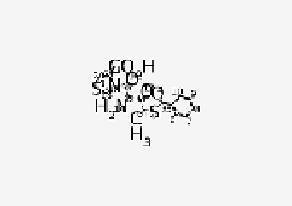 CC(SC(=O)c1ccccc1)C(=O)C(N)C(=O)N1[CH]SCC1C(=O)O